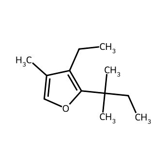 CCc1c(C)coc1C(C)(C)CC